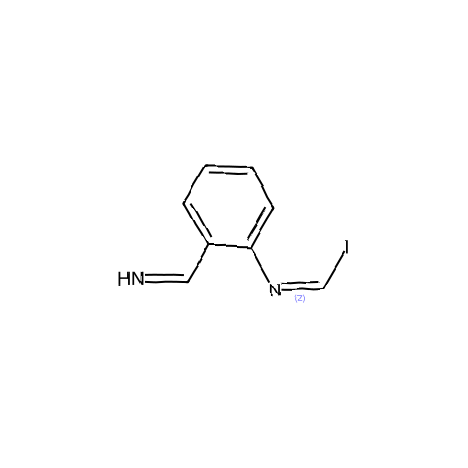 N=Cc1ccccc1/N=C\I